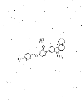 Cc1ccc(COc2ccn(-c3ccc4c5c(n(C)c4c3)CCN3CCCCC53)c(=O)c2)cn1.Cl.Cl